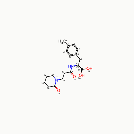 Cc1ccc(C[C@H](NC(=O)CCN2CCCCC2=O)B(O)O)cc1